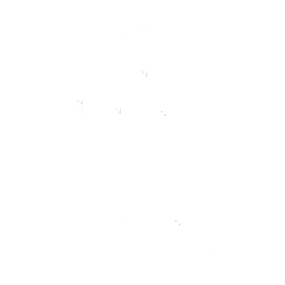 CCOc1nc(Nc2ccc(C(N3CCOCC3)C(F)(F)F)cc2Cl)nc2[nH]ccc12